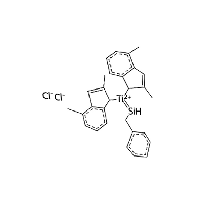 CC1=Cc2c(C)cccc2[CH]1[Ti+2](=[SiH]Cc1ccccc1)[CH]1C(C)=Cc2c(C)cccc21.[Cl-].[Cl-]